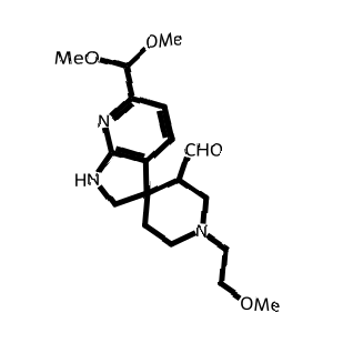 COCCN1CCC2(CNc3nc(C(OC)OC)ccc32)C(C=O)C1